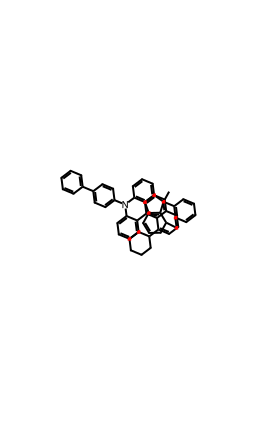 CC1CC=CC2=C1C(C)(c1ccccc1)c1cccc(N(c3ccc(-c4ccccc4)cc3)c3ccccc3-c3cccc4cccc(C5CCCCC5)c34)c12